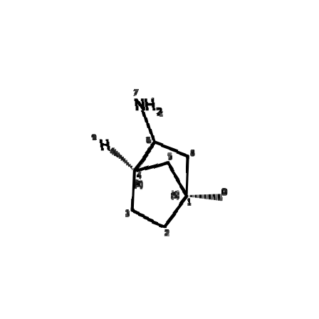 C[C@]12CC[C@H](C1)C(N)C2